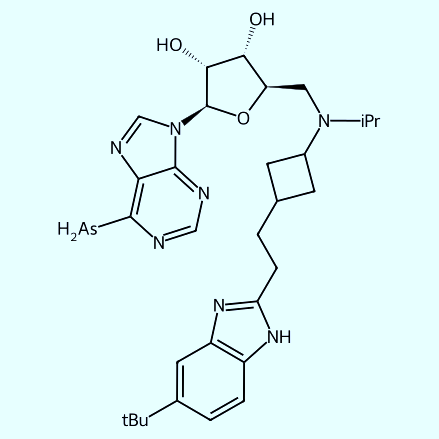 CC(C)N(C[C@H]1O[C@@H](n2cnc3c([AsH2])ncnc32)[C@H](O)[C@@H]1O)C1CC(CCc2nc3cc(C(C)(C)C)ccc3[nH]2)C1